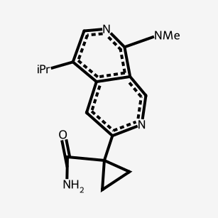 CNc1ncc(C(C)C)c2cc(C3(C(N)=O)CC3)ncc12